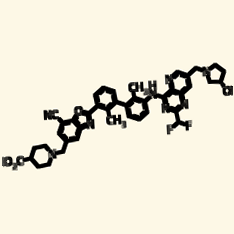 Cc1c(Nc2nc(C(F)F)nc3cc(CN4CC[C@@H](O)C4)cnc23)cccc1-c1cccc(-c2nc3cc(CN4CCC(C(=O)O)CC4)cc(C#N)c3o2)c1C